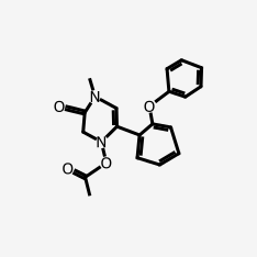 CC(=O)ON1CC(=O)N(C)C=C1c1ccccc1Oc1ccccc1